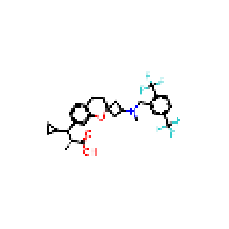 C[C@H](C(=O)O)C(c1ccc2c(c1)OC1(CC2)CC(N(C)Cc2cc(C(F)(F)F)ccc2C(F)(F)F)C1)C1CC1